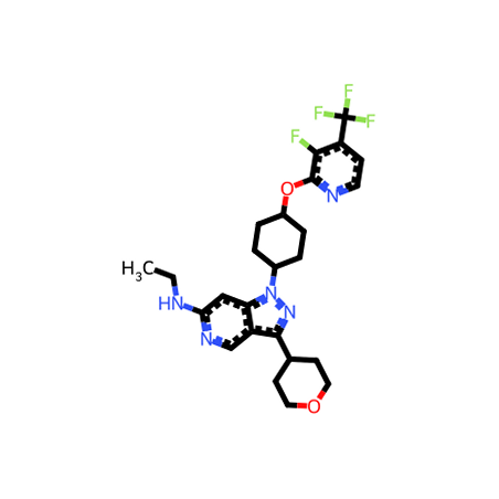 CCNc1cc2c(cn1)c(C1CCOCC1)nn2C1CCC(Oc2nccc(C(F)(F)F)c2F)CC1